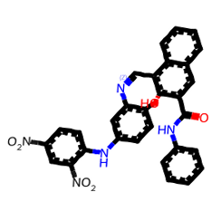 Cc1ccc(Nc2ccc([N+](=O)[O-])cc2[N+](=O)[O-])cc1/N=C\c1c(O)c(C(=O)Nc2ccccc2)cc2ccccc12